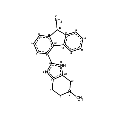 CN1CCc2nc(-c3cccc4c3-c3ccccc3C4N)[nH]c2C1